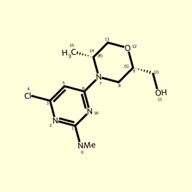 CNc1nc(Cl)cc(N2C[C@@H](CO)OC[C@H]2C)n1